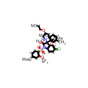 CNC(=O)[C@@H]1C[C@@H](OCCC#N)C[N+]1(C)C1(c2cc(C)ccc2OC)C(=O)N(S(=O)(=O)c2ccc(OC)cc2OC(F)(F)F)c2ccc(Cl)cc21